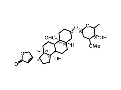 COC1C[C@H](O[C@@H]2CC[C@]3(C=O)C4CC[C@]5(C)[C@@H](C6=CC(=O)OC6)CC[C@]5(O)C4CC[C@@H]3C2)OC(C)[C@H]1O